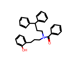 O=C(c1ccccc1)N(CCCc1ccccc1O)CCC(c1ccccc1)c1ccccc1